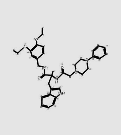 CCOc1ccc(CNC(=O)C(C)(Cc2c[nH]c3ccccc23)NC(=O)CN2CCN(c3ccccc3)CC2)cc1OCC